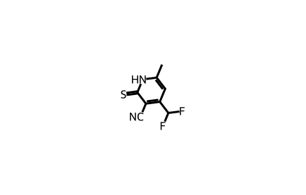 Cc1cc(C(F)F)c(C#N)c(=S)[nH]1